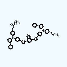 CCCc1ccc(N(c2ccc(-c3ccc(-c4ccc(-c5ccc(-c6ccc(N(c7ccc(CCC(=O)OC)cc7)c7cccc(-c8ccccc8)c7)cc6)s5)c5nsnc45)s3)cc2)c2cccc(-c3ccccc3)c2)cc1